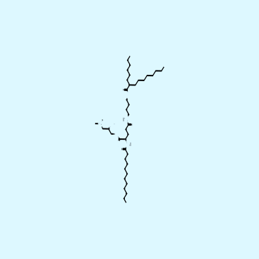 CCCCCCCCCCCC(=O)NC(CCC(=O)NCCCCOC(=O)C(CCCCCC)CCCCCCCC)C(=O)OCC(O)CN(C)C